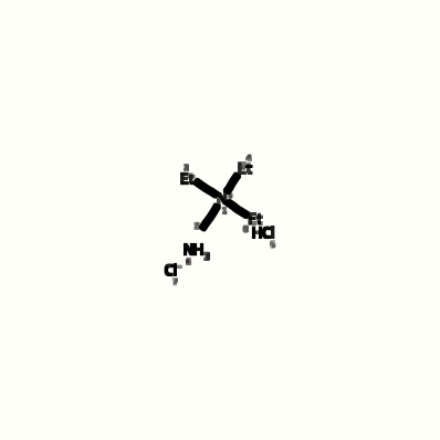 CC[N+](C)(CC)CC.Cl.N.[Cl-]